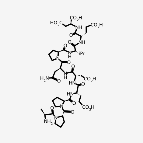 CC(C)[C@H](NC(=O)[C@@H]1CCCN1C(=O)[C@H](CC(N)=O)NC(=O)[C@H](CC(=O)O)NC(=O)[C@H](CCC(=O)O)NC(=O)[C@@H]1CCCN1C(=O)[C@@H]1CCCN1C(=O)[C@H](C)N)C(=O)N[C@@H](CCC(=O)O)C(=O)N[C@@H](CC(=O)O)C(=O)O